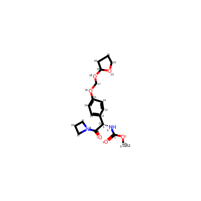 CC(C)(C)OC(=O)N[C@H](C(=O)N1CCC1)c1ccc(OCOC2CCCO2)cc1